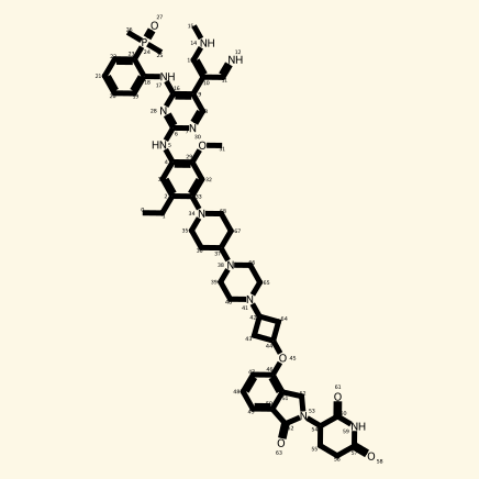 CCc1cc(Nc2ncc(/C(C=N)=C/NC)c(Nc3ccccc3P(C)(C)=O)n2)c(OC)cc1N1CCC(N2CCN(C3CC(Oc4cccc5c4CN(C4CCC(=O)NC4=O)C5=O)C3)CC2)CC1